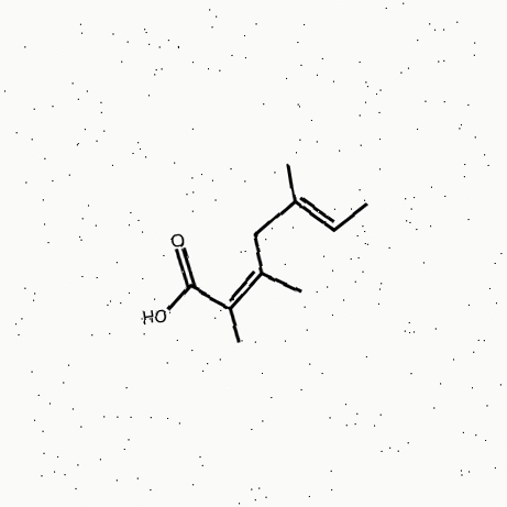 CC=C(C)C/C(C)=C(/C)C(=O)O